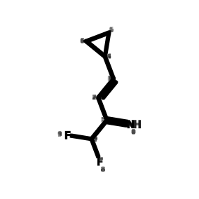 N=C(/C=C/C1CC1)C(F)F